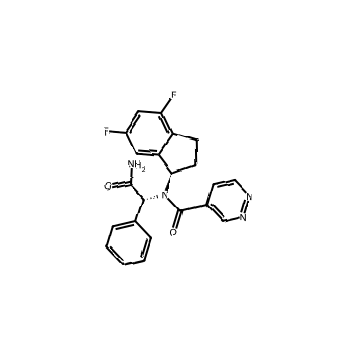 NC(=O)[C@@H](c1ccccc1)N(C(=O)c1ccnnc1)[C@@H]1CCc2c(F)cc(F)cc21